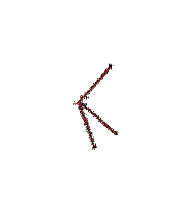 CC(=O)CC(COCCC(=O)NCCOCCOCCOCCOCCOCCOCCOCCOCCOCCOCCOCCN=[N+]=[N-])(COCCC(=O)NCCOCCOCCOCCOCCOCCOCCOCCOCCOCCOCCOCCN=[N+]=[N-])COCCC(=O)NCCOCCOCCOCCOCCOCCOCCOCCOCCOCCOCCOCCN=[N+]=[N-]